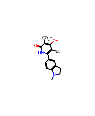 CCc1c(-c2ccc3c(c2)CCN3C)[nH]c(=O)c(C(=O)O)c1O